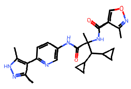 Cc1nocc1C(=O)NC(C)(C(=O)Nc1ccc(-c2c(C)n[nH]c2C)nc1)C(C1CC1)C1CC1